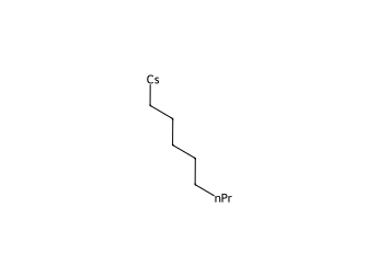 CCCCCCC[CH2][Cs]